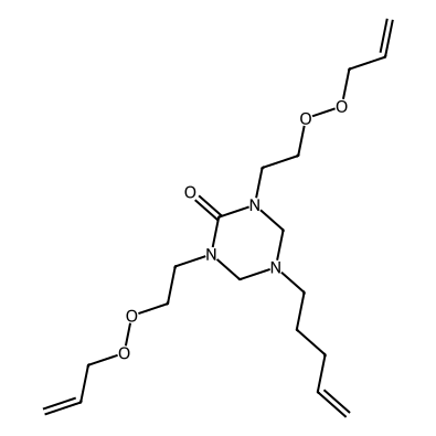 C=CCCCN1CN(CCOOCC=C)C(=O)N(CCOOCC=C)C1